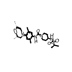 Cc1cc(N2C[C@@H](C)O[C@@H](C)C2)c(C)cc1NC(=O)N1CCC(NS(=O)(=O)C(C)C)CC1